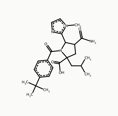 CC(C)CC1(C(=O)O)CC(C(N)=O)C(c2nccn2C)N1C(=O)c1ccc(C(C)(C)C)cc1